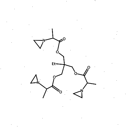 CCC(COC(=O)C(C)N1CC1)(COC(=O)C(C)N1CC1)COC(=O)C(C)N1CC1